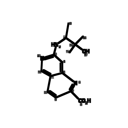 CC(Nc1cc2nc(C(=O)O)ccc2cn1)C(C)(C)O